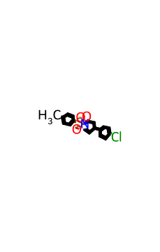 Cc1ccc(S(=O)(=O)N2C=CC(c3ccc(Cl)cc3)CC2=O)cc1